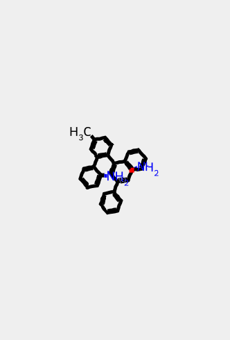 Cc1ccc(C(=C/C(=C\CN)c2ccccc2)c2ccccc2)c(-c2ccccc2N)c1